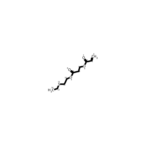 C=CC(=O)OCCC(=O)OCCSCC